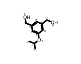 CC(C)Oc1cc(CO)cc(CO)c1